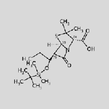 CCC(O[Si](C)(C)C(C)(C)C)[C@@H]1C(=O)N2[C@@H]1SC(C)(C)[C@@H]2C(=O)O